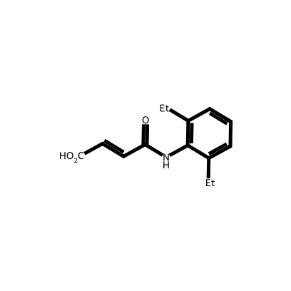 CCc1cccc(CC)c1NC(=O)C=CC(=O)O